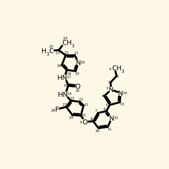 CCCn1cc(-c2cc(Oc3ccc(NC(=O)Nc4cncc(C(C)C)c4)c(F)c3)ccn2)cn1